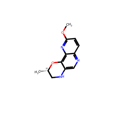 COc1ccc2ncc3c(c2n1)O[C@@H](C)CN3